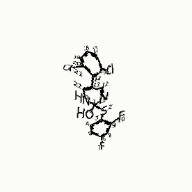 OC1(Sc2ccc(F)cc2F)N=CC(c2c(Cl)cccc2Cl)=CN1